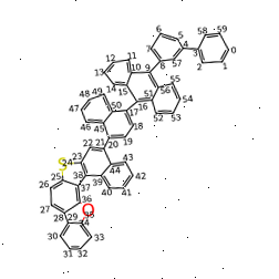 c1ccc(-c2cccc(-c3c4ccccc4c(-c4ccc(-c5cc6sc7ccc8c9ccccc9oc8c7c6c6ccccc56)c5ccccc45)c4ccccc34)c2)cc1